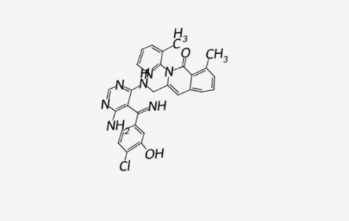 Cc1cccnc1-n1c(CNc2ncnc(N)c2C(=N)c2ccc(Cl)c(O)c2)cc2cccc(C)c2c1=O